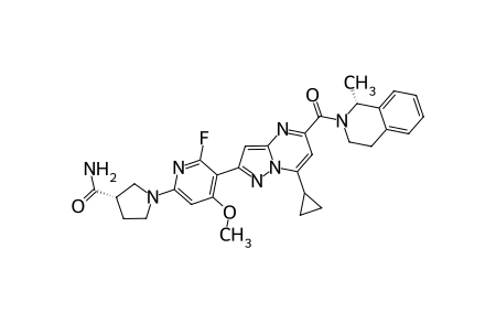 COc1cc(N2CC[C@H](C(N)=O)C2)nc(F)c1-c1cc2nc(C(=O)N3CCc4ccccc4[C@H]3C)cc(C3CC3)n2n1